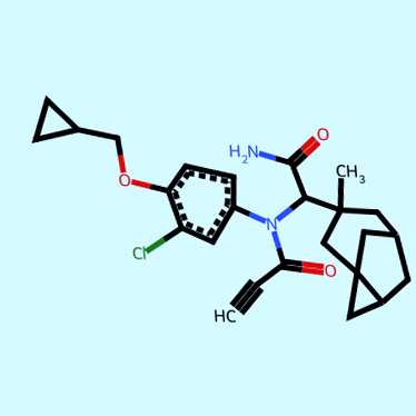 C#CC(=O)N(c1ccc(OCC2CC2)c(Cl)c1)C(C(N)=O)C1(C)CC2CC3CC3(C2)C1